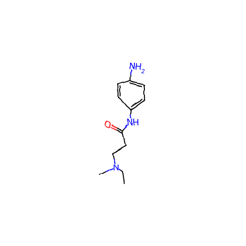 CCN(C)CCC(=O)Nc1ccc(N)cc1